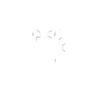 C=CCOC(=O)C(=O)CC(=O)c1cc(Oc2ccc(C(F)(F)F)cc2Cl)ccc1[N+](=O)[O-]